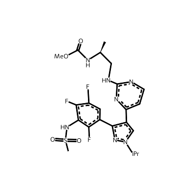 COC(=O)N[C@@H](C)CNc1nccc(-c2cn(C(C)C)nc2-c2cc(F)c(F)c(NS(C)(=O)=O)c2F)n1